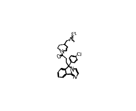 CCN(C)CC1CCN(C(=O)CCC2(c3ccc(Cl)cc3)c3ccccc3-c3nccn32)CC1